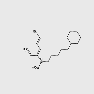 C=CC(=CC=CCC)[SiH](CCCCCCCC)CCCCCC1CCCCC1